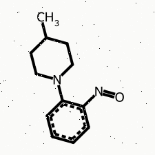 CC1CCN(c2ccccc2N=O)CC1